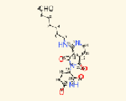 O=CCCCCCCNc1nccc2c1C(=O)N(C1CCC(=O)NC1=O)C2=O